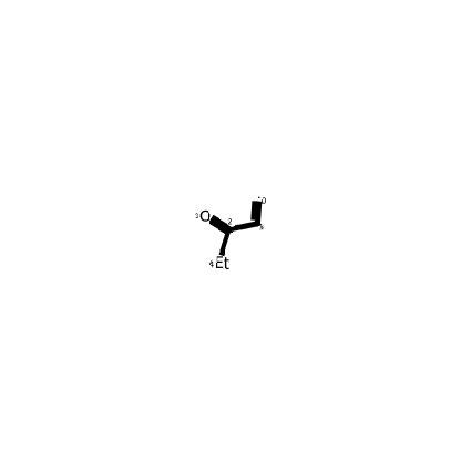 [CH]=CC(=O)C[CH2]